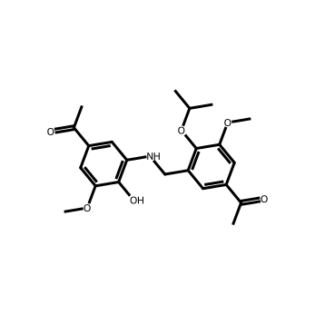 COc1cc(C(C)=O)cc(NCc2cc(C(C)=O)cc(OC)c2OC(C)C)c1O